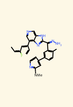 C=C/C(=C\C(F)=C/C)c1cncc2[nH]c(/C(=N/N)c3cc(-c4ccnc(NC)c4)ccc3C)nc12